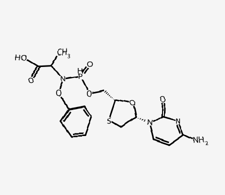 CC(C(=O)O)N(Oc1ccccc1)[PH](=O)OC[C@@H]1O[C@H](n2ccc(N)nc2=O)CS1